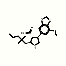 CCCC(C)(C)C[C@@H]1NC[C@H](c2cc(OC)c3c(c2)OCO3)[C@H]1C(=O)O